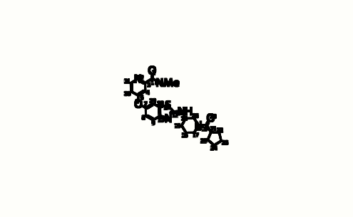 CNC(=O)c1cc(Oc2ccc3nc(NC4CCCN(C(=O)C5CCCC5)C4)sc3c2)ccn1